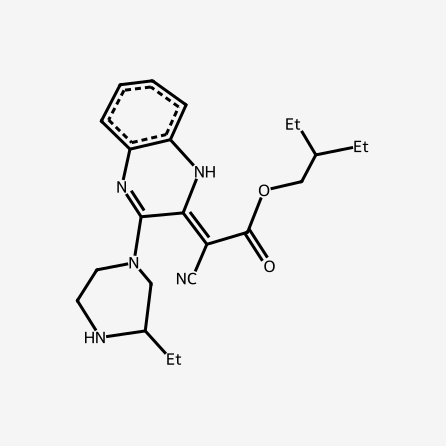 CCC(CC)COC(=O)C(C#N)=C1Nc2ccccc2N=C1N1CCNC(CC)C1